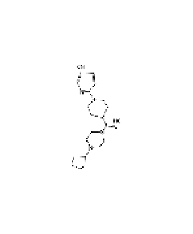 Cl.N#Cc1ccc(N2CCC(C(=O)N3CCN(C4CCCC4)CC3)CC2)nc1